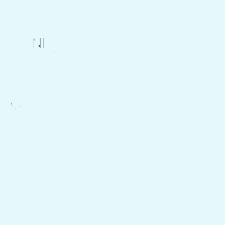 Cc1c(C(N)=O)c(C)c2cccc(C)c2c1C